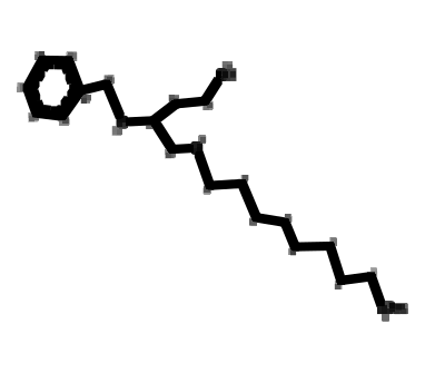 CCCCCCCCCCCCCCCCCCOCC(CCO)OCc1ccccc1